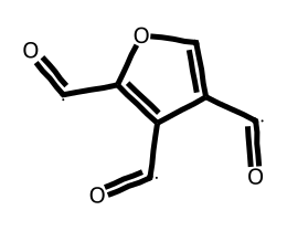 O=[C]c1coc([C]=O)c1[C]=O